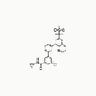 CC(C)(c1cc(-c2cccc(-c3cc(C(=O)NC4CC4)c[n+]([O-])c3)c2)c2ncccc2c1)S(C)(=O)=O